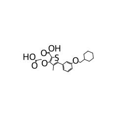 Cc1c(-c2cccc(OCC3CCCCC3)c2)sc(C(=O)O)c1OCC(=O)O